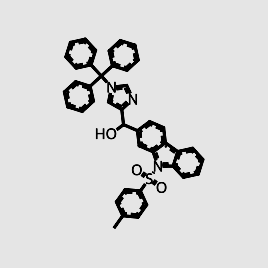 Cc1ccc(S(=O)(=O)n2c3ccccc3c3ccc(C(O)c4cn(C(c5ccccc5)(c5ccccc5)c5ccccc5)cn4)cc32)cc1